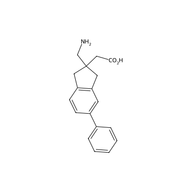 NCC1(CC(=O)O)Cc2ccc(-c3ccccc3)cc2C1